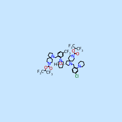 O=C(OC(C(F)(F)F)C(F)(F)F)N1CCC2(CCCN2Cc2ccc(C(F)(F)F)cc2N2C[C@@H]3CC[C@](C4CN(Cc5ccc(Cl)cc5N5CCCCC5)C5(CCN(C(=O)OC(C(F)(F)F)C(F)(F)F)CC5)C4)(C2)O3)CC1